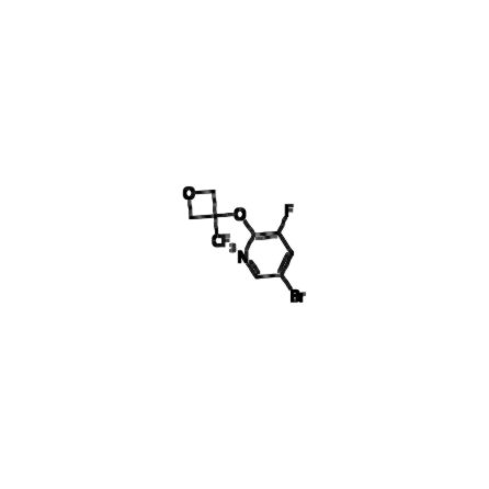 Fc1cc(Br)cnc1OC1(C(F)(F)F)COC1